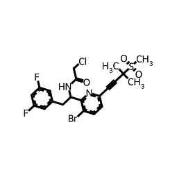 CC(C)(C#Cc1ccc(Br)c(C(Cc2cc(F)cc(F)c2)NC(=O)CCl)n1)S(C)(=O)=O